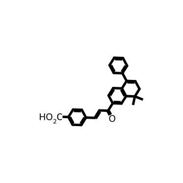 CC1(C)CC=C(c2ccccc2)c2ccc(C(=O)/C=C/c3ccc(C(=O)O)cc3)cc21